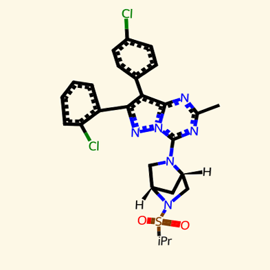 Cc1nc(N2C[C@@H]3C[C@H]2CN3S(=O)(=O)C(C)C)n2nc(-c3ccccc3Cl)c(-c3ccc(Cl)cc3)c2n1